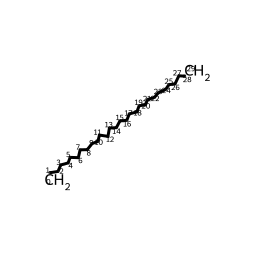 C=CCCCCCCCCCCCCCCCCCCCCCCCCCCC=C